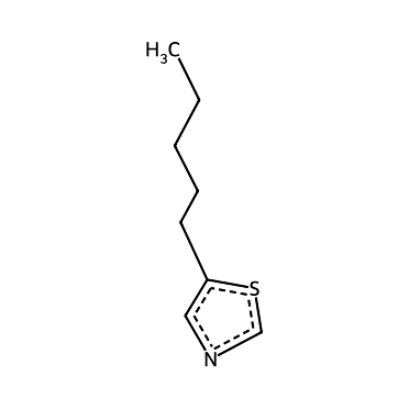 CCCCCc1cncs1